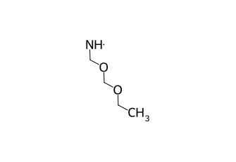 CCOCOC[NH]